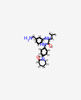 CC(C)CC(Nc1cccc(CN)c1)C(=O)Nc1ccc(N2CCCCCC2=O)cc1